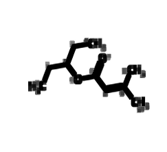 CCC(CC)OC(=O)C=C(C)C